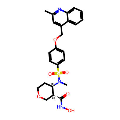 Cc1cc(COc2ccc(S(=O)(=O)N(C)[C@@H]3CCOC[C@H]3C(=O)NO)cc2)c2ccccc2n1